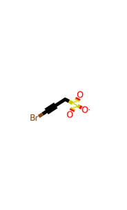 [O]S(=O)(=O)CC#CBr